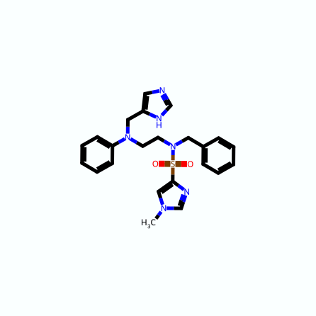 Cn1cnc(S(=O)(=O)N(CCN(Cc2cnc[nH]2)c2ccccc2)Cc2ccccc2)c1